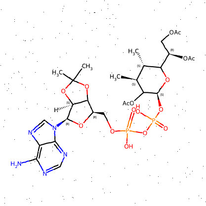 CC(=O)OC[C@@H](OC(C)=O)C1O[C@@H](OP(=O)(O)OP(=O)(O)OC[C@H]2O[C@@H](n3cnc4c(N)ncnc43)[C@H]3OC(C)(C)OC23)C(OC(C)=O)[C@@H](C)[C@@H]1C